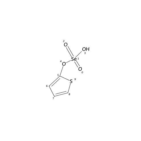 O=[Se](=O)(O)Oc1cccs1